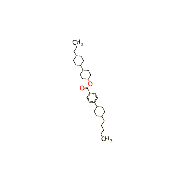 CCCCCC1CCC(c2ccc(C(=O)OC3CCC(C4CCC(CCC)CC4)CC3)cc2)CC1